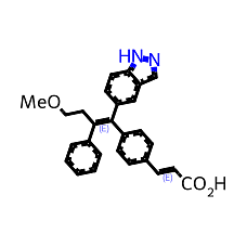 COCC/C(=C(/c1ccc(/C=C/C(=O)O)cc1)c1ccc2[nH]ncc2c1)c1ccccc1